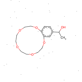 CC(O)c1ccc2c(c1)OCCOCCOCCOCCO2